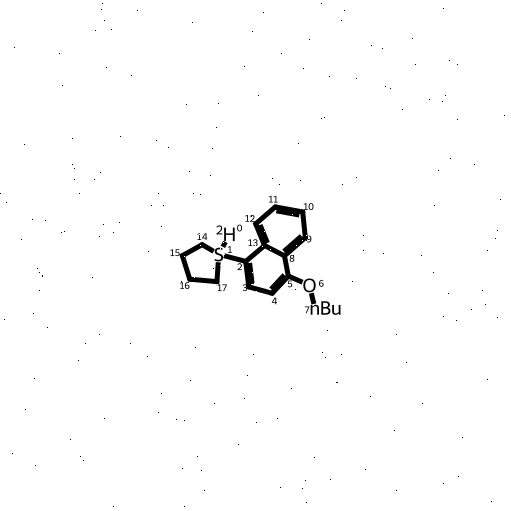 [2H]S1(c2ccc(OCCCC)c3ccccc23)CCCC1